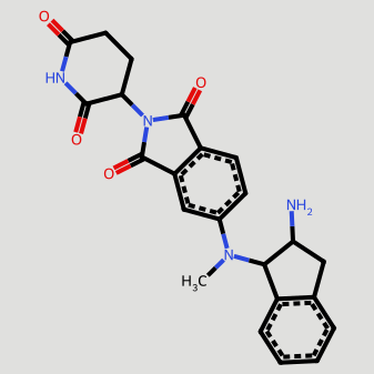 CN(c1ccc2c(c1)C(=O)N(C1CCC(=O)NC1=O)C2=O)C1c2ccccc2CC1N